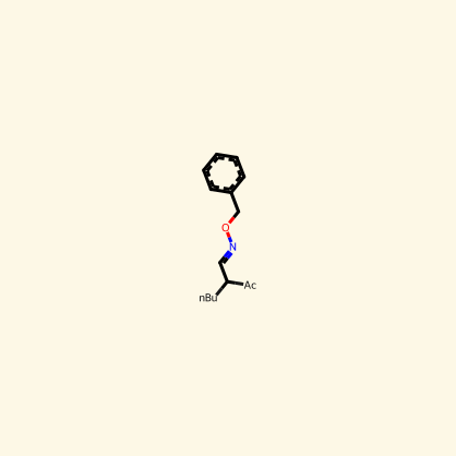 CCCCC(C=NOCc1ccccc1)C(C)=O